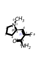 CN1CCC[C@@H]1/C=C(/F)C(N)=O